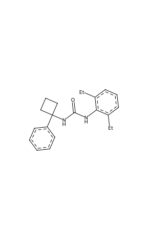 CCc1cccc(CC)c1NC(=O)NC1(c2ccccc2)CCC1